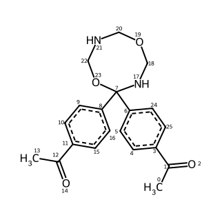 CC(=O)c1ccc(C2(c3ccc(C(C)=O)cc3)NCOCNCO2)cc1